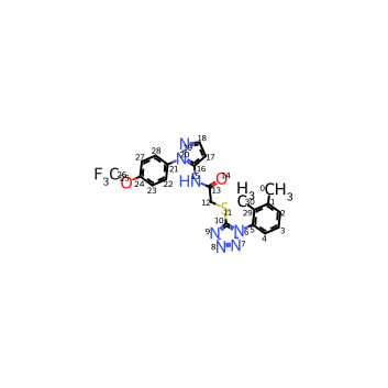 Cc1cccc(-n2nnnc2SCC(=O)Nc2ccnn2-c2ccc(OC(F)(F)F)cc2)c1C